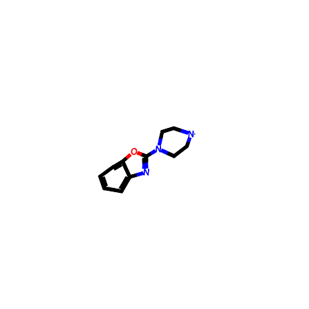 c1ccc2oc(N3CC[N]CC3)nc2c1